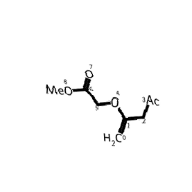 C=C(CC(C)=O)OCC(=O)OC